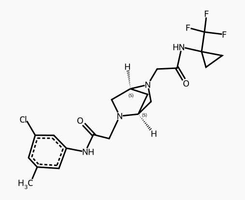 Cc1cc(Cl)cc(NC(=O)CN2C[C@@H]3C[C@H]2CN3CC(=O)NC2(C(F)(F)F)CC2)c1